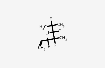 C=CC(F)(F)C(C)(F)C(F)(F)C(C)(C)F